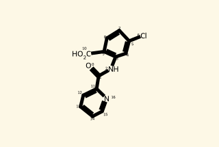 O=C(Nc1cc(Cl)ccc1C(=O)O)c1ccccn1